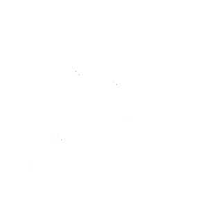 O=C(O)CNC(=O)c1c(O)nc2sc3c(n2c1=O)CCCCCC3